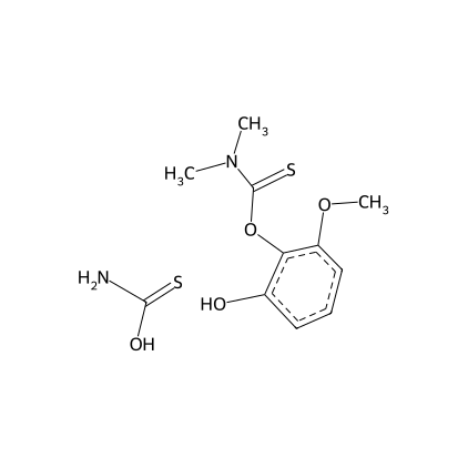 COc1cccc(O)c1OC(=S)N(C)C.NC(O)=S